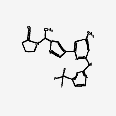 Cc1cc(Nc2cc(C(F)(F)F)ccn2)nc(-c2cnn(C(C)N3CCCC3=O)c2)c1